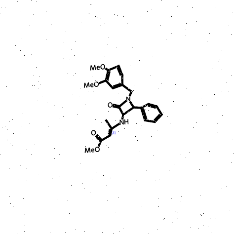 COC(=O)/C=C(\C)NC1C(=O)N(Cc2ccc(OC)c(OC)c2)C1c1ccccc1